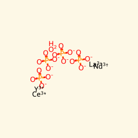 O.O=P([O-])([O-])[O-].O=P([O-])([O-])[O-].O=P([O-])([O-])[O-].O=P([O-])([O-])[O-].[Ce+3].[La+3].[Nd+3].[Y+3]